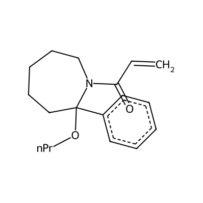 C=CC(=O)N1CCCCCC1(OCCC)c1ccccc1